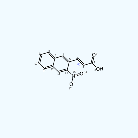 O=C(O)/C=C/c1cc2ccccc2cc1[N+](=O)[O-]